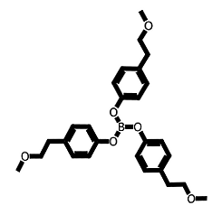 COCCc1ccc(OB(Oc2ccc(CCOC)cc2)Oc2ccc(CCOC)cc2)cc1